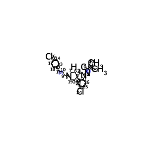 C/C(=N\N1CC2(CCN(C/C=C/c3ccc(Cl)cc3)CC2)c2cc(Cl)ccc21)N(C)C